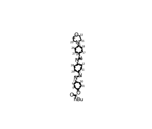 CCCCC(=O)Oc1ccc(N=Nc2ccc(N=Nc3ccc(N4CCOCC4)cc3)cc2)cc1